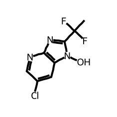 CC(F)(F)c1nc2ncc(Cl)cc2n1O